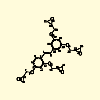 C(=Cc1ccc(OCC2CO2)cc1OCC1CO1)c1cc(OCC2CO2)cc(OCC2CO2)c1